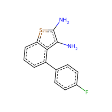 Nc1sc2cccc(-c3ccc(F)cc3)c2c1N